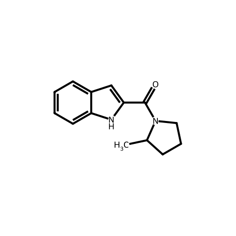 CC1CCCN1C(=O)c1cc2ccccc2[nH]1